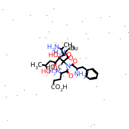 CCC(C)C(N)C(=O)C(C(=O)O)(N(C(=O)C(N)CCC(=O)O)C(=O)C(N)Cc1ccccc1)C(O)(C(=O)CC(C)O)C(=O)C(C)N